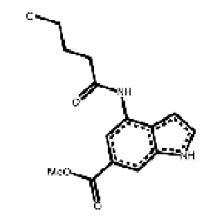 COC(=O)c1cc(NC(=O)CCCCl)c2cc[nH]c2c1